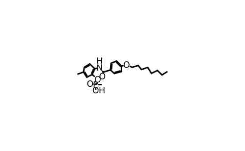 CCCCCCCCOc1ccc(C(=O)Nc2ccc(C)cc2OP(C)(=O)O)cc1